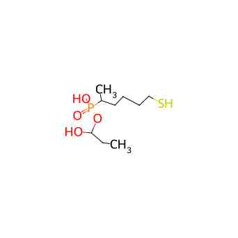 CCC(O)OP(=O)(O)C(C)CCCCS